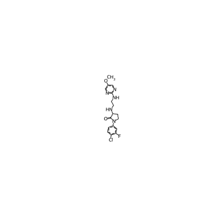 COc1cnc(NCCNC2CCN(c3ccc(Cl)c(F)c3)C2=O)nc1